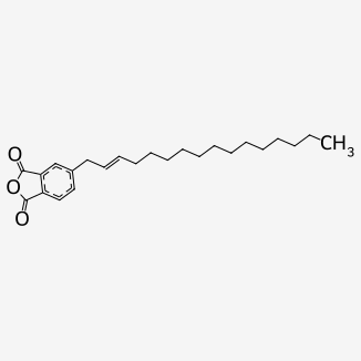 CCCCCCCCCCCCCC=CCc1ccc2c(c1)C(=O)OC2=O